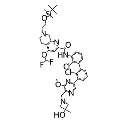 COc1nc(-c2cccc(-c3cccc(NC(=O)c4cc(OC(F)F)c5c(n4)CN(CCO[Si](C)(C)C(C)(C)C)CC5)c3Cl)c2Cl)cnc1CN1CC(C)(O)C1